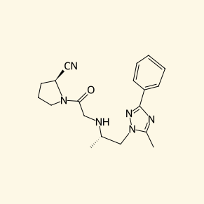 Cc1nc(-c2ccccc2)nn1C[C@H](C)NCC(=O)N1CCC[C@H]1C#N